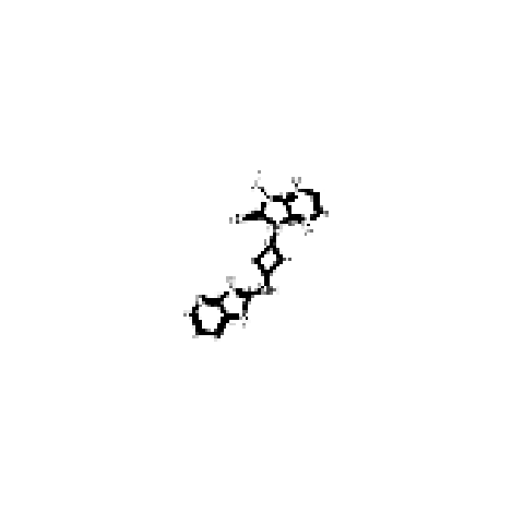 Cn1c(=O)n(C2CC(Nc3nc4ncccc4s3)C2)c2nccnc21